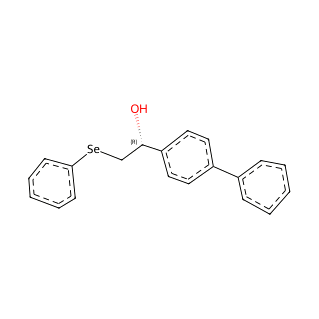 O[C@@H](C[Se]c1ccccc1)c1ccc(-c2ccccc2)cc1